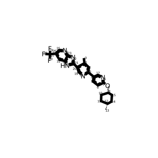 Cc1cc(-c2ccc(O[C@H]3CC[C@@H](C)CC3)nc2)ncc1-c1nc2ncc(C(F)(F)F)cc2[nH]1